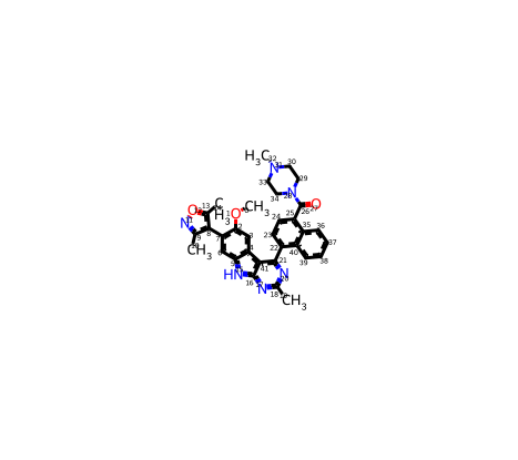 COc1cc2c(cc1-c1c(C)noc1C)[nH]c1nc(C)nc(-c3ccc(C(=O)N4CCN(C)CC4)c4ccccc34)c12